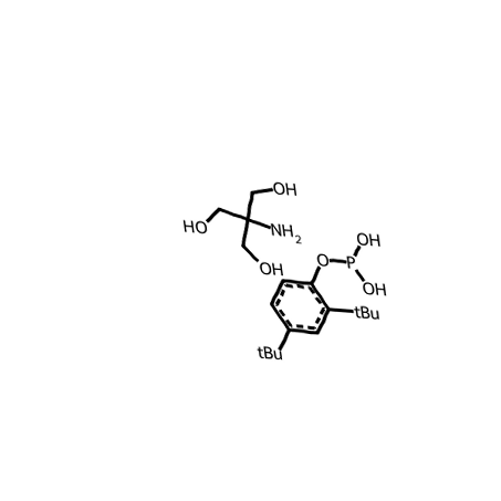 CC(C)(C)c1ccc(OP(O)O)c(C(C)(C)C)c1.NC(CO)(CO)CO